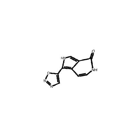 O=c1[nH]ccc2c(-c3cnno3)[nH]cc12